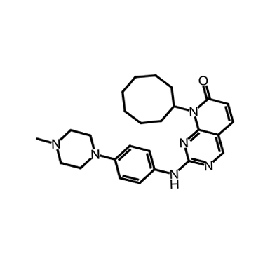 CN1CCN(c2ccc(Nc3ncc4ccc(=O)n(C5CCCCCCC5)c4n3)cc2)CC1